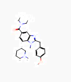 CCOc1ccc(Cc2nc3cc(C(=O)N(CC(F)(F)F)CC(F)(F)F)ccc3n2C[C@H]2CCCCN2C)cc1